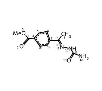 COC(=O)c1ccc(/C(C)=N/NC(N)=O)cc1